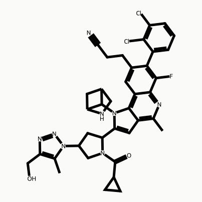 Cc1nc2c(F)c(-c3cccc(Cl)c3Cl)c(CCC#N)cc2c2c1cc(C1CC(n3nnc(CO)c3C)CN1C(=O)C1CC1)n2C1C2CNC1C2